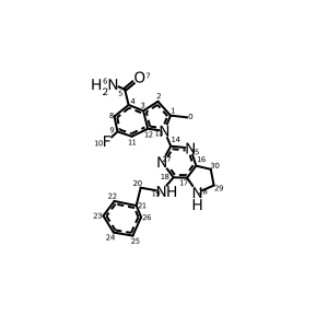 Cc1cc2c(C(N)=O)cc(F)cc2n1-c1nc2c(c(NCc3ccccc3)n1)NCC2